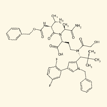 CC(C)[C@H](NC(=O)OCc1ccccc1)C(=O)N([C@@H](C)C(N)=O)[C@@H](CCN(C(=O)CO)[C@@H](c1cc(-c2cc(F)ccc2F)cn1Cc1ccccc1)C(C)(C)C)C(=O)O